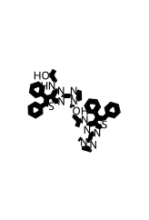 CC(O)CNc1nc(-c2nccn2COCC(C)Nc2nc(-c3nccn3C)nc3sc(-c4ccccc4)c(-c4ccccc4)c23)nc2sc(-c3ccccc3)c(-c3ccccc3)c12